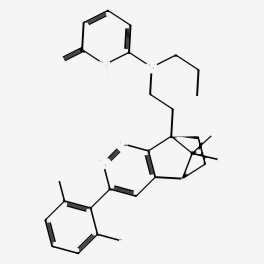 CC1(C)[C@H]2CC[C@]1([C@H]1CCCN(c3cccc(=O)[nH]3)C1)c1nnc(-c3c(F)cccc3F)cc12